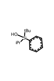 CC(C)[Si](O)(c1ccccc1)C(C)(C)C